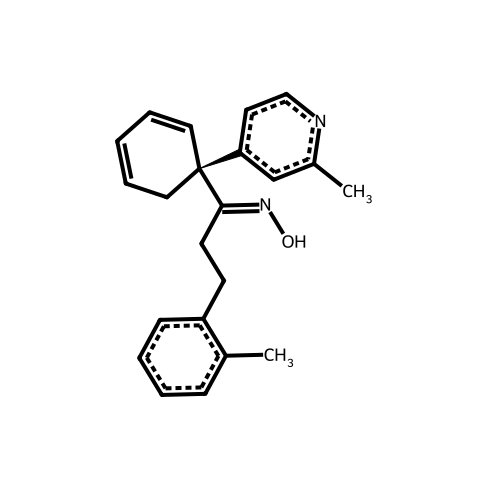 Cc1cc([C@]2(C(CCc3ccccc3C)=NO)C=CC=CC2)ccn1